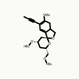 CC#CC1=C(SC)CC2CO[C@@]3(C[C@@H](OCCCC)C[C@@H](COCCCC)O3)C2=C1